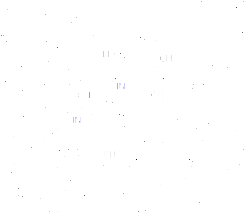 C=C(CNC(C)(C)C)NC